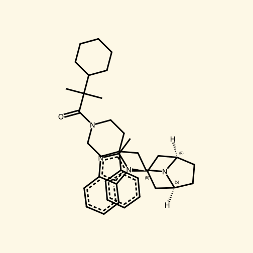 Cc1nc2ccccc2n1[C@H]1C[C@H]2CC[C@@H](C1)N2CCC1(c2ccccc2)CCN(C(=O)C(C)(C)C2CCCCC2)CC1